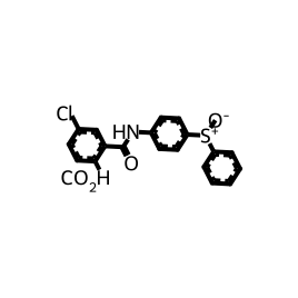 O=C(O)c1ccc(Cl)cc1C(=O)Nc1ccc([S+]([O-])c2ccccc2)cc1